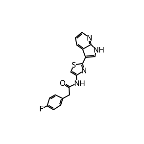 O=C(Cc1ccc(F)cc1)Nc1csc(-c2c[nH]c3ncccc23)n1